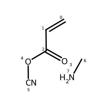 C=CC(=O)OC#N.CN